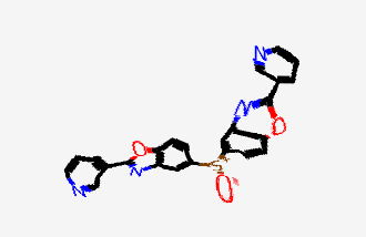 [O-][S+](c1ccc2oc(-c3cccnc3)nc2c1)c1ccc2oc(-c3cccnc3)nc2c1